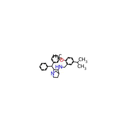 COc1ccc(C(C)C)cc1CNC1C2CCN(C2)C1C(c1ccccc1)c1ccccc1